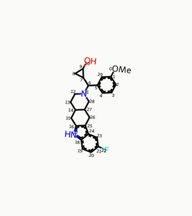 COc1cccc(C(C2CC2O)N2CCC3Cc4[nH]c5ccc(F)cc5c4CC3C2)c1